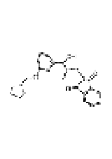 CC(CN1C(=O)c2ccccc2C1=O)C(O)c1cccc(OCC2CCCC2)c1